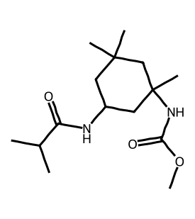 COC(=O)NC1(C)CC(NC(=O)C(C)C)CC(C)(C)C1